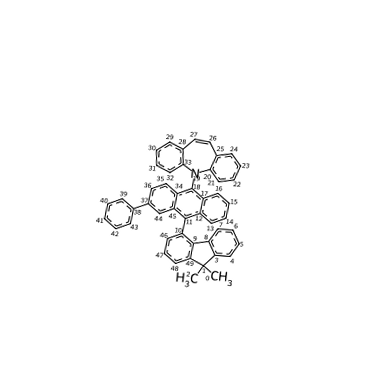 CC1(C)c2ccccc2-c2c(-c3c4ccccc4c(N4c5ccccc5C=Cc5ccccc54)c4ccc(-c5ccccc5)cc34)cccc21